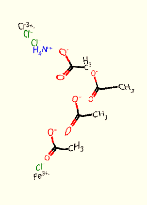 CC(=O)[O-].CC(=O)[O-].CC(=O)[O-].CC(=O)[O-].[Cl-].[Cl-].[Cl-].[Cr+3].[Fe+3].[NH4+]